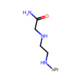 CCCNCCNCC(N)=O